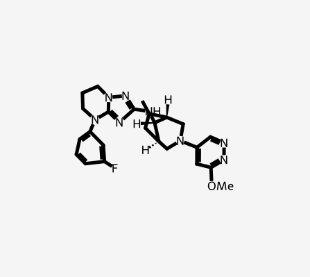 COc1cc(N2C[C@H]3CC(C)[C@H](C2)[C@H]3Nc2nc3n(n2)CCCN3c2cccc(F)c2)cnn1